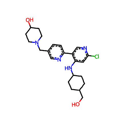 OCC1CCC(Nc2cc(Cl)ncc2-c2ccc(CN3CCC(O)CC3)cn2)CC1